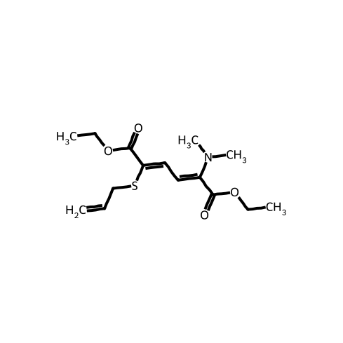 C=CCS/C(=C\C=C(\C(=O)OCC)N(C)C)C(=O)OCC